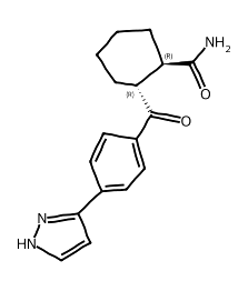 NC(=O)[C@@H]1CCCC[C@H]1C(=O)c1ccc(-c2cc[nH]n2)cc1